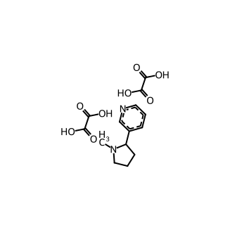 CN1CCCC1c1cccnc1.O=C(O)C(=O)O.O=C(O)C(=O)O